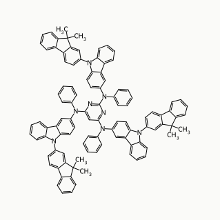 CC1(C)c2ccccc2-c2ccc(-n3c4ccccc4c4cc(N(c5ccccc5)c5cc(N(c6ccccc6)c6ccc7c(c6)c6ccccc6n7-c6ccc7c(c6)C(C)(C)c6ccccc6-7)nc(N(c6ccccc6)c6ccc7c(c6)c6ccccc6n7-c6ccc7c(c6)C(C)(C)c6ccccc6-7)n5)ccc43)cc21